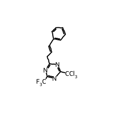 FC(F)(F)c1nc(C/C=C/c2ccccc2)nc(C(Cl)(Cl)Cl)n1